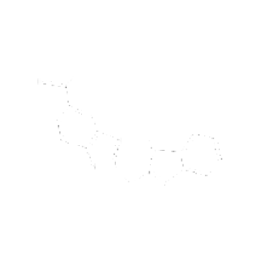 Cn1c(Cc2nc3cc(C(=N)N)ccc3[nH]2)nc2ccccc21